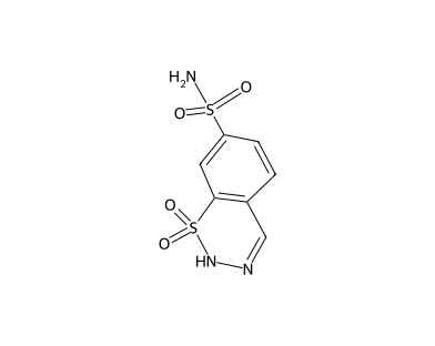 NS(=O)(=O)c1ccc2c(c1)S(=O)(=O)NN=C2